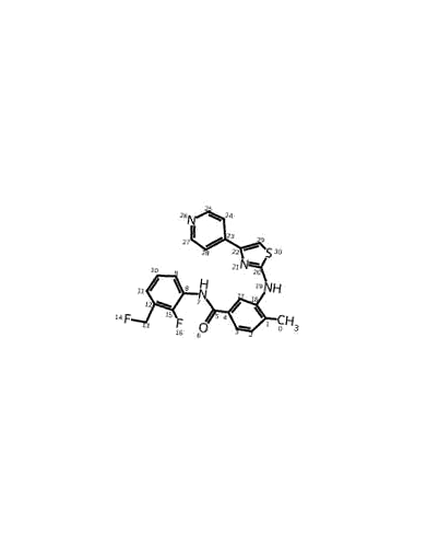 Cc1ccc(C(=O)Nc2cccc(CF)c2F)cc1Nc1nc(-c2ccncc2)cs1